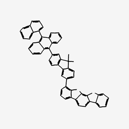 CC1(C)c2ccc(-c3cccc4c3sc3c4ccc4c5ccccc5sc43)cc2-c2ccc(-c3c4ccccc4c(-c4cccc5ccccc45)c4ccccc34)cc21